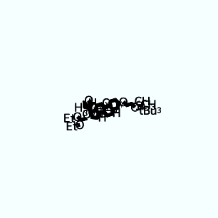 CCOC(CO[C@@]1(c2ccoc2)CC[C@H]2[C@@H]3CC[C@@H]4C[C@@H](OCCO[Si](C)(C)C(C)(C)C)CC[C@]4(C)[C@H]3CC[C@@]21C)OCC